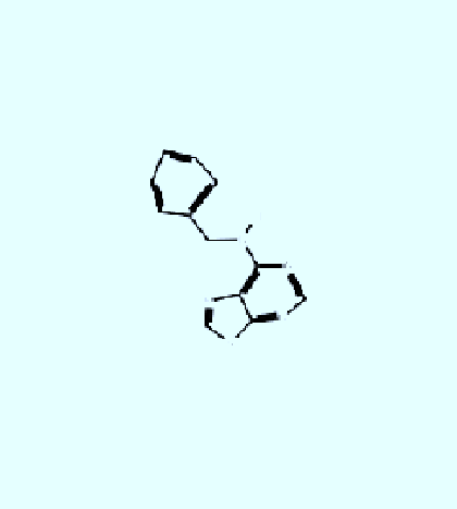 CN(Cc1ccccc1)c1ncnc2[nH]cnc12